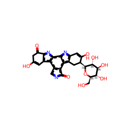 O=C1CC(O)=Cc2c1nc1c3nc4c(c3c3c(=O)ncc3c21)CC([C@@H]1O[C@H](CO)[C@@H](O)[C@H](O)[C@H]1O)C(O)=C4